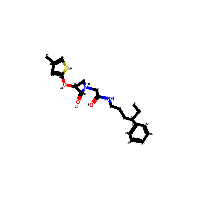 CCC(CCCNC(=O)CN1CC(Oc2cc(C)cs2)C1=O)c1ccccc1